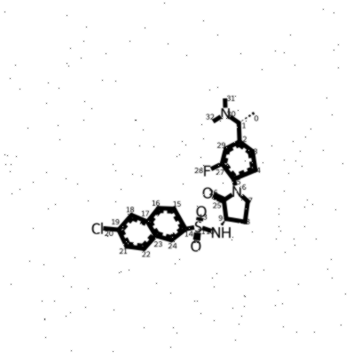 C[C@H](c1ccc(N2CC[C@H](NS(=O)(=O)c3ccc4cc(Cl)ccc4c3)C2=O)c(F)c1)N(C)C